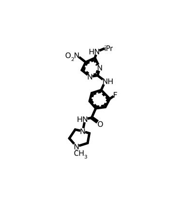 CC(C)Nc1nc(Nc2ccc(C(=O)NN3CCN(C)CC3)cc2F)ncc1[N+](=O)[O-]